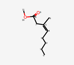 CCCCC=C(C)CC(=O)OC